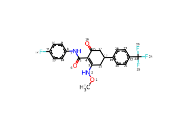 CONC1=C(C(=O)Nc2ccc(F)cc2)C(=O)CC(c2ccc(C(F)(F)F)cc2)C1